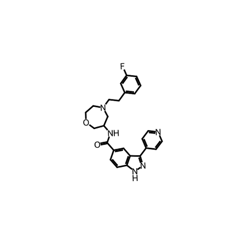 O=C(NC1COCCN(CCc2cccc(F)c2)C1)c1ccc2[nH]nc(-c3ccncc3)c2c1